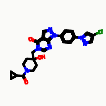 O=C(C1CC1)N1CCC(O)(Cn2cnc3c(cnn3-c3ccc(-n4cc(Cl)cn4)cc3)c2=O)CC1